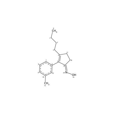 CCCCC1=C(c2cccc(C)c2)C(=NO)CC1